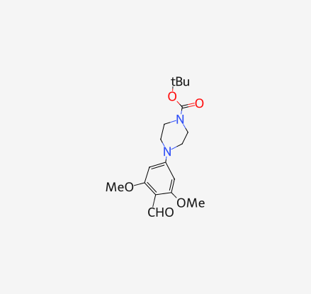 COc1cc(N2CCN(C(=O)OC(C)(C)C)CC2)cc(OC)c1C=O